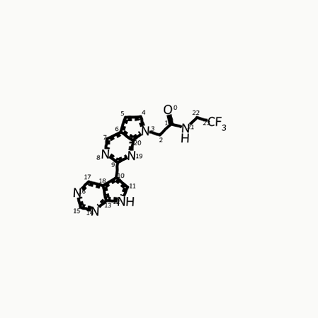 O=C(Cn1ccc2cnc(-c3c[nH]c4ncncc34)nc21)NCC(F)(F)F